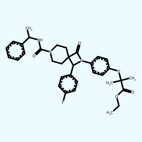 CCOC(=O)C(C)(C)Oc1ccc(N2C(=O)C3(CCN(C(=O)NC(C)c4ccccc4)CC3)C2c2ccc(F)cc2)cc1